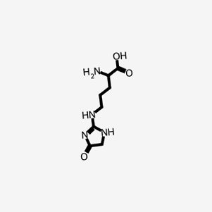 NC(CCCNC1=NC(=O)CN1)C(=O)O